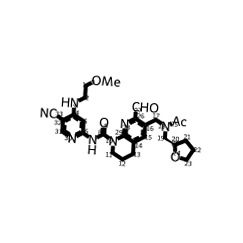 COCCNc1cc(NC(=O)N2CCCc3cc(CN(C[C@H]4CCCO4)C(C)=O)c(C=O)nc32)ncc1C#N